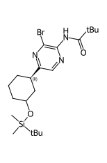 CC(C)(C)C(=O)Nc1ncc([C@@H]2CCCC(O[Si](C)(C)C(C)(C)C)C2)nc1Br